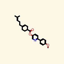 COc1ccc(-c2ccc(OC(=O)C3CC=C(CCC=C(C)C)CC3)cn2)cc1